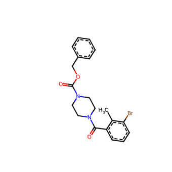 Cc1c(Br)cccc1C(=O)N1CCN(C(=O)OCc2ccccc2)CC1